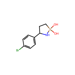 OS1(O)CCC(c2ccc(Br)cc2)N1